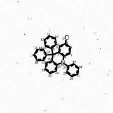 Clc1ccc2c(c1)C(c1ccccc1)(c1ccccc1)c1ccccc1N2c1ccccc1